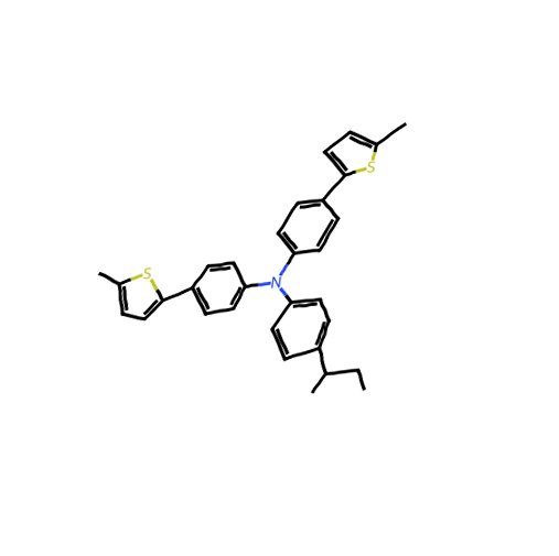 CCC(C)c1ccc(N(c2ccc(-c3ccc(C)s3)cc2)c2ccc(-c3ccc(C)s3)cc2)cc1